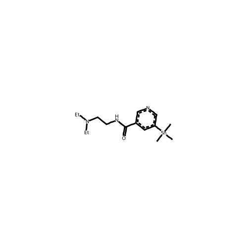 CCN(CC)CCNC(=O)c1cnc[c]([Sn]([CH3])([CH3])[CH3])c1